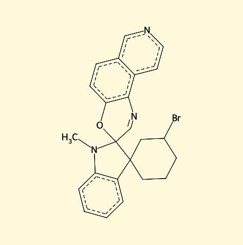 CN1c2ccccc2C2(CCCC(Br)C2)C12C=Nc1c(ccc3cnccc13)O2